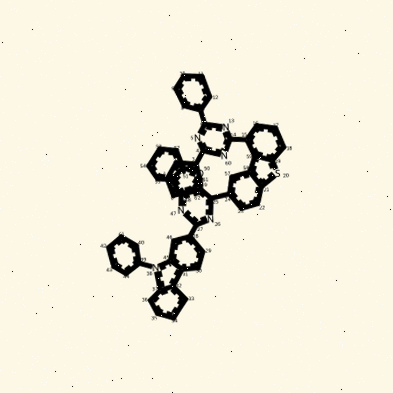 c1ccc(-c2nc(-c3ccccc3)nc(-c3cccc4sc5ccc(-c6nc(-c7ccc8c9ccccc9n(-c9ccccc9)c8c7)nc7c6oc6ccccc67)cc5c34)n2)cc1